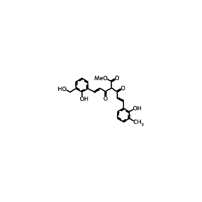 COC(=O)C(C(=O)/C=C/c1cccc(C)c1O)C(=O)/C=C/c1cccc(CO)c1O